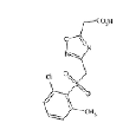 Cc1cccc(Cl)c1S(=O)(=O)Cc1noc(CC(=O)O)n1